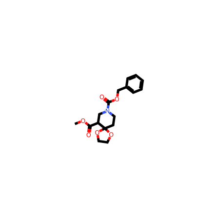 COC(=O)C1CN(C(=O)OCc2ccccc2)CCC12OCCO2